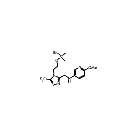 COc1ccc(NCc2nnc(C(F)(F)F)n2CCO[Si](C)(C)C(C)(C)C)cn1